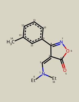 CCN(C=C1C(=O)ON=C1c1cccc(C)c1)CC